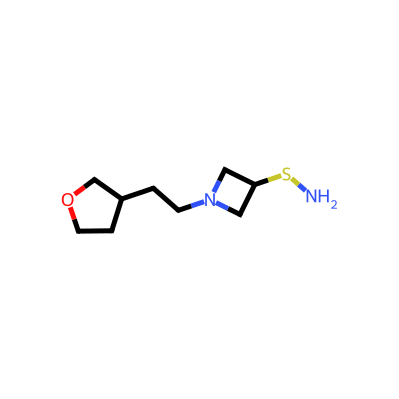 NSC1CN(CCC2CCOC2)C1